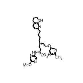 COc1cnc(NC(CCN(CCCCc2ccc3c(n2)NCCC3)CCOc2ccc(C)nc2)C(=O)O)cn1